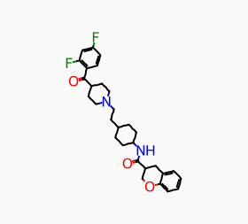 O=C(NC1CCC(CCN2CCC(C(=O)c3ccc(F)cc3F)CC2)CC1)C1COc2ccccc2C1